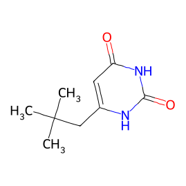 CC(C)(C)Cc1cc(=O)[nH]c(=O)[nH]1